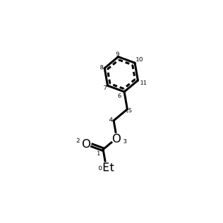 CCC(=O)OC[CH]c1ccccc1